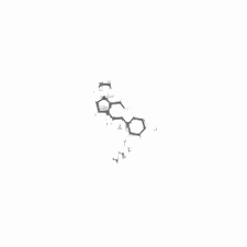 CC(=O)O[C@@H]1[C@@H]([C@@]2(C)CC[C@H](C)C[C@@H]2CN=[N+]=[N-])CC[C@@]2(C)[C@H]1CCC21OCCO1